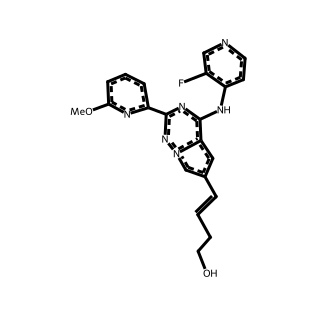 COc1cccc(-c2nc(Nc3ccncc3F)c3cc(C=CCCO)cn3n2)n1